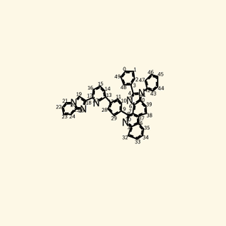 c1ccc(-c2nc3c4c(-c5ccc(-c6cccc(-c7cn8ccccc8n7)n6)cc5)nc5ccccc5c4ccc3n2-c2ccccc2)cc1